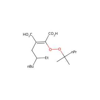 CCCCC(CC)CC(C(=O)O)=C(OOC(C)(C)CCC)C(=O)O